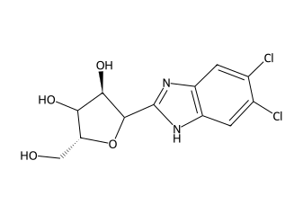 OC[C@H]1OC(c2nc3cc(Cl)c(Cl)cc3[nH]2)[C@H](O)C1O